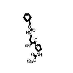 CCCC(CCNC(=O)OCc1ccccc1)C(=O)N1CC[C@H](NC(=O)OC(C)(C)C)C1